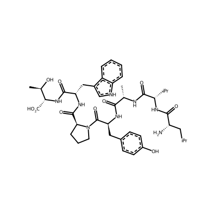 CC(C)C[C@H](N)C(=O)N[C@H](C(=O)N[C@@H](C)C(=O)N[C@@H](Cc1ccc(O)cc1)C(=O)N1CCC[C@H]1C(=O)N[C@@H](Cc1c[nH]c2ccccc12)C(=O)N[C@H](C(=O)O)[C@@H](C)O)C(C)C